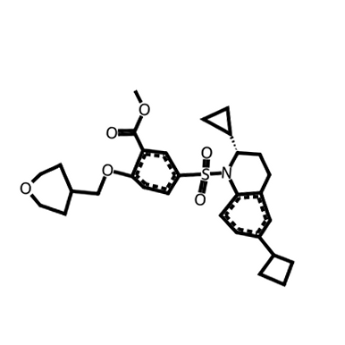 COC(=O)c1cc(S(=O)(=O)N2c3ccc(C4CCC4)cc3CC[C@H]2C2CC2)ccc1OCC1CCOCC1